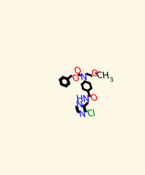 COCCN(C(=O)OCc1ccccc1)C1CCC(C(=O)NCc2nccnc2Cl)CC1